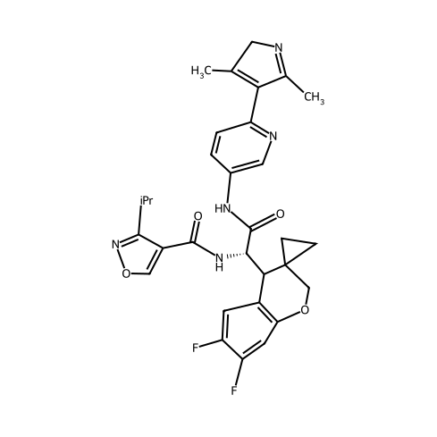 CC1=NCC(C)=C1c1ccc(NC(=O)[C@@H](NC(=O)c2conc2C(C)C)C2c3cc(F)c(F)cc3OCC23CC3)cn1